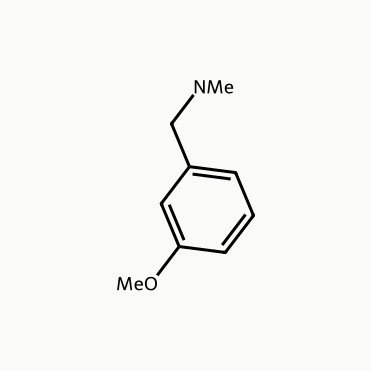 [CH2-][NH2+]Cc1cccc(OC)c1